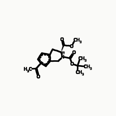 COC(=O)[C@H]1Cc2ccc(C(C)=O)cc2CN1C(=O)OC(C)(C)C